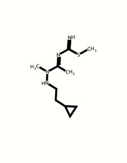 CSC(=N)/N=C(\C)N(C)NCCC1CC1